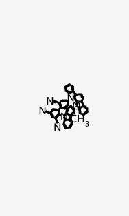 CC12C=CC=CC1N(c1c(C#N)cc(C#N)cc1-c1ccc(-n3c4c(c5ccccc53)C=CC3c5ccccc5OC43)cc1C#N)c1ccccc12